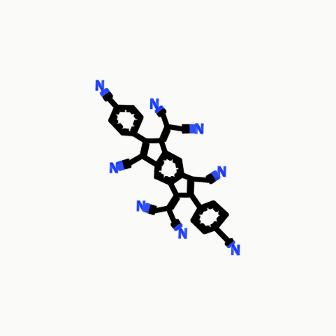 N#CC(C#N)=C1C(c2ccc(C#N)cc2)=C(C#N)c2cc3c(cc21)C(C#N)=C(c1ccc(C#N)cc1)C3=C(C#N)C#N